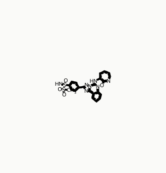 CS(=O)(=O)S(=N)(=O)c1ccc(-c2nc3c4ccccc4nc(Nc4ccccnc4=O)n3n2)cc1